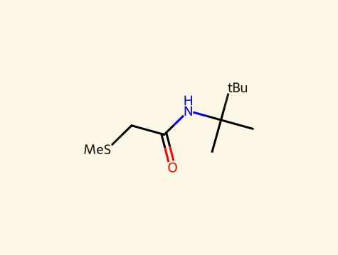 CSCC(=O)NC(C)(C)C(C)(C)C